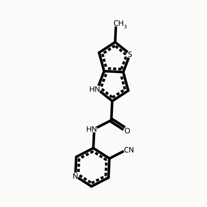 Cc1cc2[nH]c(C(=O)Nc3cnccc3C#N)cc2s1